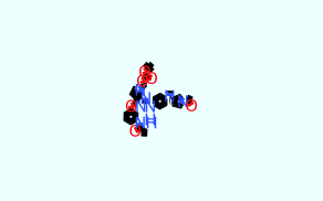 C=CC(=O)Nc1cccc(Oc2nc(Nc3ccc(N(C)[C@H]4CCN(C(C)=O)C4)cc3)nc3c2ccn3COC(=O)OC(C)(C)C)c1